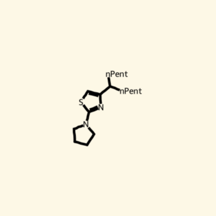 CCCCCC(CCCCC)c1csc(N2CCCC2)n1